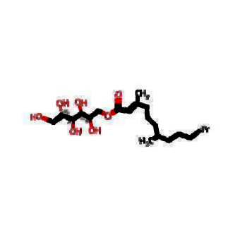 CC(=CC(=O)OC[C@@H](O)[C@H](O)[C@@H](O)[C@@H](O)CO)CCCC(C)CCCC(C)C